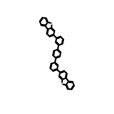 c1cc(-c2ccc(-c3cccc(-c4ccc5c(c4)sc4ccccc45)c3)cc2)cc(-c2ccc3c(c2)sc2ccccc23)c1